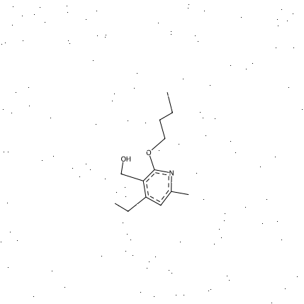 CCCCOc1nc(C)cc(CC)c1CO